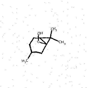 CC1CCC2C(C)(C)C2(OO)C1